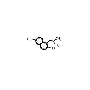 Cc1ccc2c(CC(C)C)c(O)ccc2c1